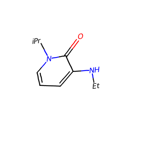 CCNc1cccn(C(C)C)c1=O